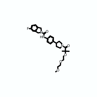 COCCOCCOC(C)(C)C(=O)N1CCC(c2ccc(NC(=O)N3Cc4ccc(F)cc4C3)cc2)CC1